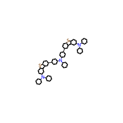 c1ccc(N(c2ccc(-c3ccc4sc5ccc(N(c6ccccc6)c6ccccc6)cc5c4c3)cc2)c2ccc(-c3ccc4sc5ccc(N(c6ccccc6)c6ccccc6)cc5c4c3)cc2)cc1